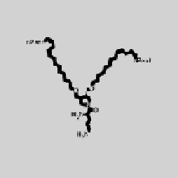 CCCCC/C=C\C/C=C\CCCCCCCCOCC1CN(C(=O)[C@@H](N)CCCN)C[C@H]1COCCCCCCCC/C=C\C/C=C\CCCCC